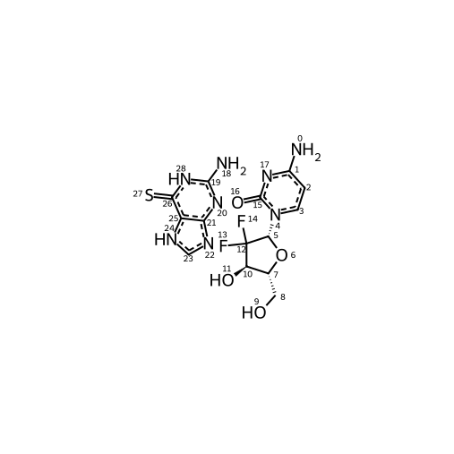 Nc1ccn([C@@H]2O[C@H](CO)[C@@H](O)C2(F)F)c(=O)n1.Nc1nc2nc[nH]c2c(=S)[nH]1